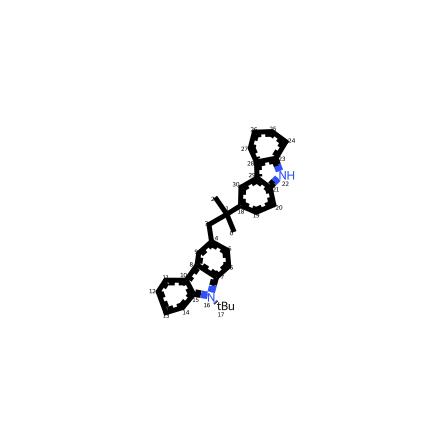 CC(C)(Cc1ccc2c(c1)c1ccccc1n2C(C)(C)C)c1ccc2[nH]c3ccccc3c2c1